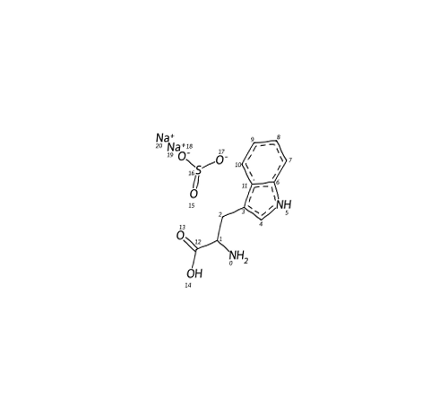 NC(Cc1c[nH]c2ccccc12)C(=O)O.O=S([O-])[O-].[Na+].[Na+]